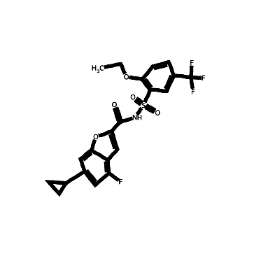 CCOc1ccc(C(F)(F)F)cc1S(=O)(=O)NC(=O)c1cc2c(F)cc(C3CC3)cc2o1